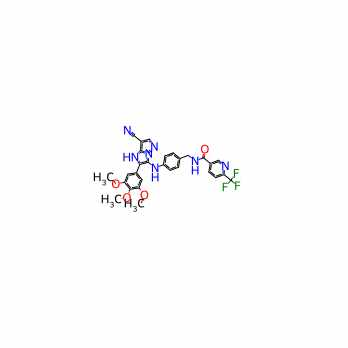 COc1cc(-c2[nH]c3c(C#N)cnn3c2Nc2ccc(CNC(=O)c3ccc(C(F)(F)F)nc3)cc2)cc(OC)c1OC